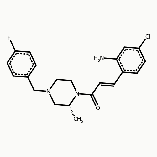 C[C@@H]1CN(Cc2ccc(F)cc2)CCN1C(=O)/C=C/c1ccc(Cl)cc1N